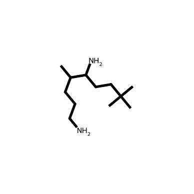 CC(CCCN)C(N)CCC(C)(C)C